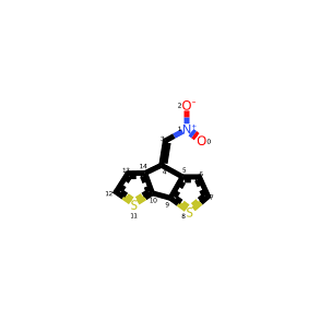 O=[N+]([O-])C=C1c2ccsc2-c2sccc21